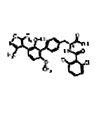 COc1ccc(-c2c(C)noc2C)c(OC)c1-c1ccc(C[C@H](NC(=O)c2c(Cl)cccc2Cl)C(=O)O)cc1